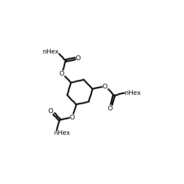 CCCCCCC(=O)OC1CC(OC(=O)CCCCCC)CC(OC(=O)CCCCCC)C1